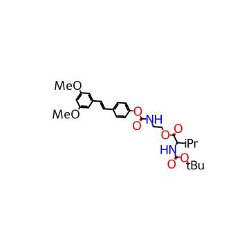 COc1cc(C=Cc2ccc(OC(=O)NCCOC(=O)C(NC(=O)OC(C)(C)C)C(C)C)cc2)cc(OC)c1